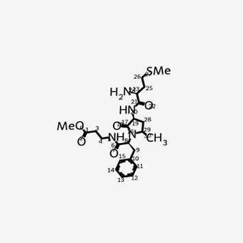 COC(=O)CCNC(=O)[C@H](Cc1ccccc1)N1C(=O)[C@@H](NC(=O)[C@@H](N)CCSC)CC1C